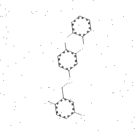 Fc1ccc(F)c(CNc2ccc3c(c2)Oc2ccccc2S3)c1